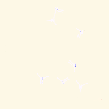 Cc1nn(C)c2cc(-c3cc(Nc4ccc(Cl)cc4)nc(N4CCOCC4)n3)cnc12